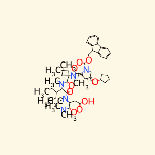 CCC(CC)C(C(=O)N(C)C(CC(=O)O)C(=O)N(C)C)N(C)C(=O)C1(N(C)C(=O)[C@@H]2C[C@@H](OC3CCCC3)CN2C(=O)OCC2c3ccccc3-c3ccccc32)CC(C)(C)C1